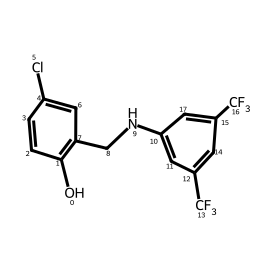 Oc1ccc(Cl)cc1CNc1cc(C(F)(F)F)cc(C(F)(F)F)c1